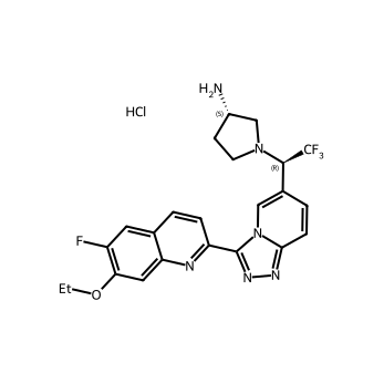 CCOc1cc2nc(-c3nnc4ccc([C@@H](N5CC[C@H](N)C5)C(F)(F)F)cn34)ccc2cc1F.Cl